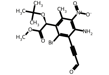 COC(=O)[C@@H](OC(C)(C)C)c1c(C)c([N+](=O)[O-])c(N)c(C#CC=O)c1Br